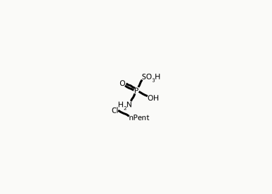 CCCCCCl.NP(=O)(O)S(=O)(=O)O